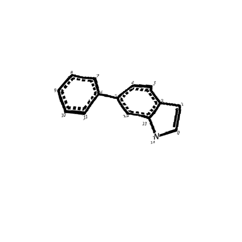 C1=Cc2ccc(-c3ccccc3)cc2[N]1